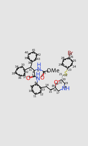 COC(=O)NC(C(=O)Nc1ccccc1CC[C@@H]1CNC[C@@H](CSc2ccc(Br)cc2)O1)C(c1ccccc1)c1ccccc1